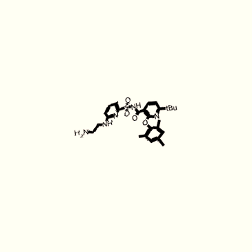 Cc1cc(C)c(Oc2nc(C(C)(C)C)ccc2C(=O)NS(=O)(=O)c2cccc(NCCN)n2)c(C)c1